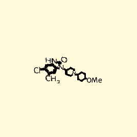 COC1CCC(N2CCC(n3c(=O)[nH]c4cc(Cl)c(C)cc43)CC2)CC1